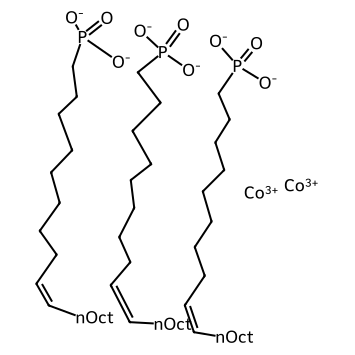 CCCCCCCC/C=C\CCCCCCCCP(=O)([O-])[O-].CCCCCCCC/C=C\CCCCCCCCP(=O)([O-])[O-].CCCCCCCC/C=C\CCCCCCCCP(=O)([O-])[O-].[Co+3].[Co+3]